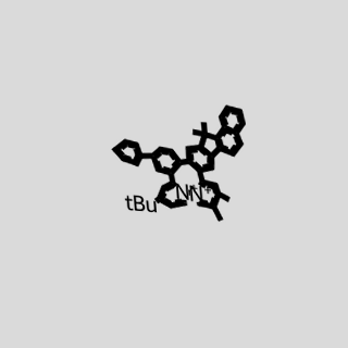 Cc1cc2[n+](cc1C)-[n+]1ccc(C(C)(C)C)cc1-c1cc(-c3ccccc3)ccc1-c1cc3c(cc1-2)-c1ccc2ccccc2c1C3(C)C